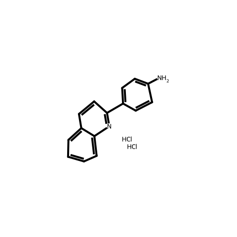 Cl.Cl.Nc1ccc(-c2ccc3ccccc3n2)cc1